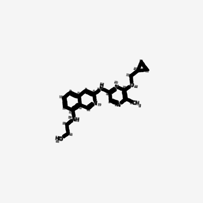 Cc1ncc(Nc2cc3cccc(NCCO)c3cn2)nc1OCC1CC1